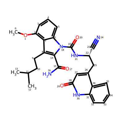 COc1cccc2c1c(CCC(C)C)c(C(N)=O)n2C(=O)N[C@H](C#N)Cc1cc(=O)[nH]c2ccccc12